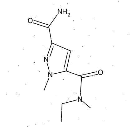 CCN(C)C(=O)c1[c]c(C(N)=O)nn1C